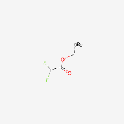 CCCCCOC(=O)C(F)F